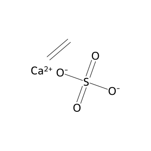 C=C.O=S(=O)([O-])[O-].[Ca+2]